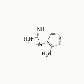 N=C(N)Nc1ccc[c]c1N